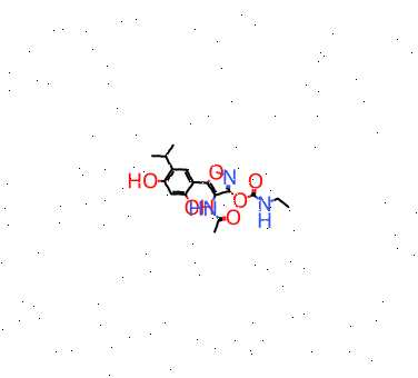 CCNC(=O)Oc1noc(-c2cc(C(C)C)c(O)cc2O)c1NC(C)=O